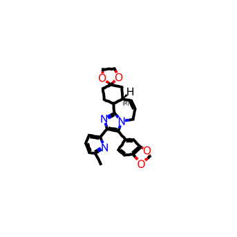 Cc1cccc(-c2nc3n(c2-c2ccc4c(c2)OCO4)CC=C[C@H]2CC4(CCC32)OCCO4)n1